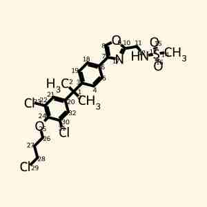 CC(C)(c1ccc(-c2coc(CNS(C)(=O)=O)n2)cc1)c1cc(Cl)c(OCCCCl)c(Cl)c1